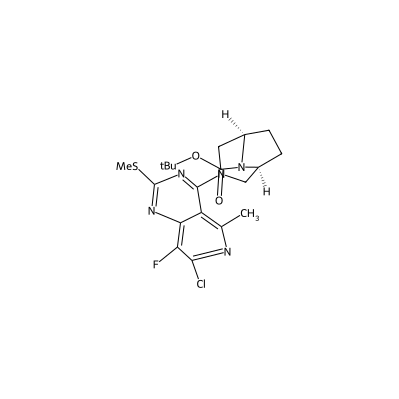 CSc1nc(N2C[C@H]3CC[C@@H](C2)N3C(=O)OC(C)(C)C)c2c(C)nc(Cl)c(F)c2n1